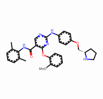 COc1ccccc1Oc1nc(Nc2ccc(OC[C@@H]3CCCN3)cc2)ncc1C(=O)Nc1c(C)cccc1C